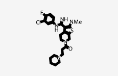 CNc1sc2c(c1C(=N)Nc1ccc(F)c(Cl)c1)CCN(C(=O)CCN1CCCCC1)C2